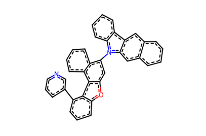 c1cncc(-c2cccc3oc4cc(-n5c6ccccc6c6cc7ccccc7cc65)c5ccccc5c4c23)c1